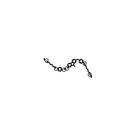 C=COCCCCCCOc1ccc(Cc2ccc3c(c2)C(C)c2cc(OCOc4ccc(OCCCCCCOC=C)cc4)ccc2-3)cc1